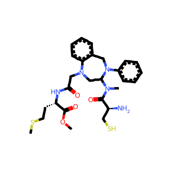 COC(=O)[C@H](CCSC)NC(=O)CN1CC(N(C)C(=O)[C@@H](N)CS)N(c2ccccc2)Cc2ccccc21